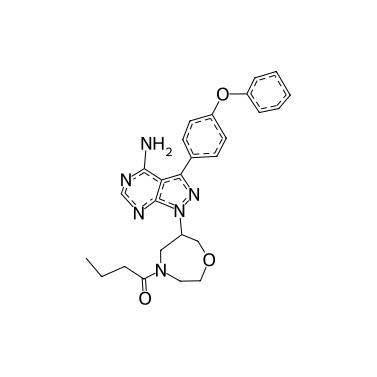 CCCC(=O)N1CCOCC(n2nc(-c3ccc(Oc4ccccc4)cc3)c3c(N)ncnc32)C1